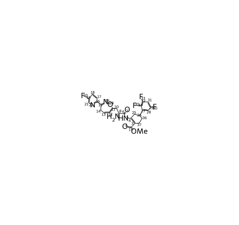 COC(=O)C1=C(NC(=O)C(N)CC2=C=CCC(c3ccc(F)cn3)=NO2)CC(c2cc(F)cc(F)c2F)CC1